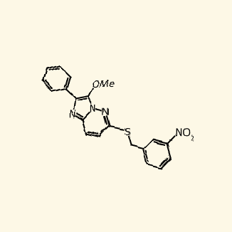 COc1c(-c2ccccc2)nc2ccc(SCc3cccc([N+](=O)[O-])c3)nn12